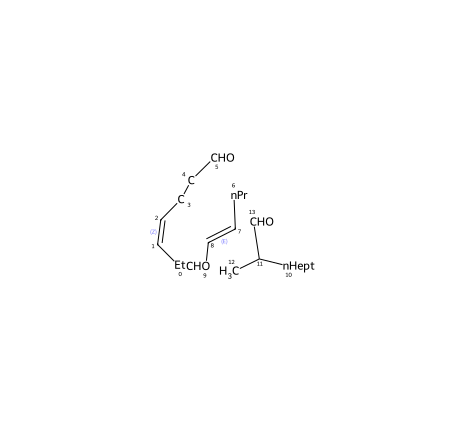 CC/C=C\CCC=O.CCC/C=C/C=O.CCCCCCCC(C)C=O